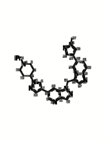 CC(C)N1CCC(n2cc(-c3cnc4cnn(Cc5cnc6ccc(-c7cnn(C)c7)cn56)c4c3)cn2)CC1